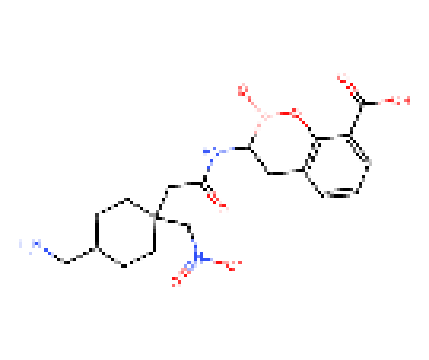 NCC1CCC(CC(=O)NC2Cc3cccc(C(=O)O)c3OB2O)(C[N+](=O)[O-])CC1